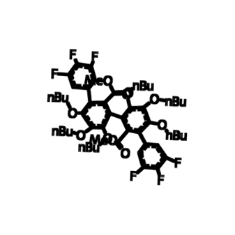 CCCCOc1c(OCCCC)c(-c2cc(F)c(F)c(F)c2)c(C(=O)OC)c(-c2c(OCCCC)c(OCCCC)c(OCCCC)c(-c3cc(F)c(F)c(F)c3)c2C(=O)OC)c1OCCCC